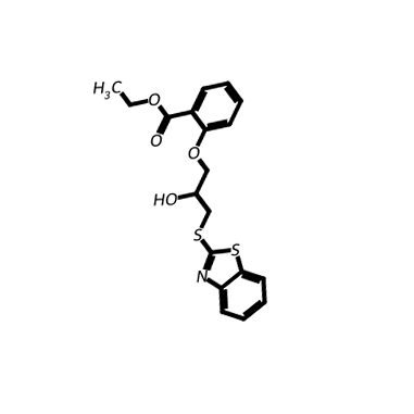 CCOC(=O)c1ccccc1OCC(O)CSc1nc2ccccc2s1